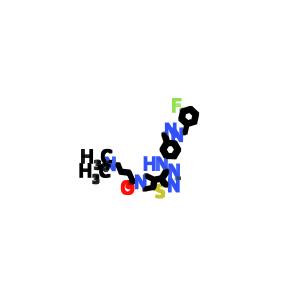 CN(C)CC=CC(=O)N1Cc2sc3ncnc(Nc4ccc5c(cnn5Cc5cccc(F)c5)c4)c3c2C1